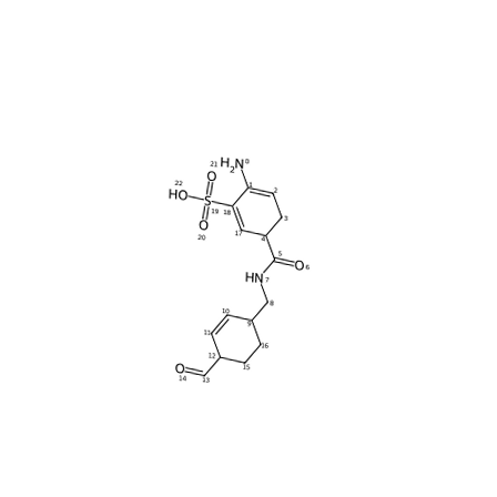 NC1=CCC(C(=O)NCC2C=CC(C=O)CC2)C=C1S(=O)(=O)O